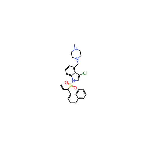 C=CC(c1cccc2ccccc12)S(=O)(=O)n1cc(Cl)c2c(CN3CCN(C)CC3)cccc21